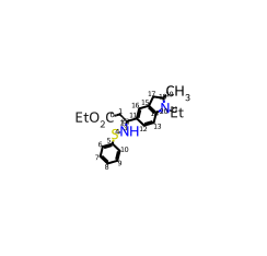 CCOC(=O)C[C@H](NSc1ccccc1)c1ccc2c(c1)CC(C)N2CC